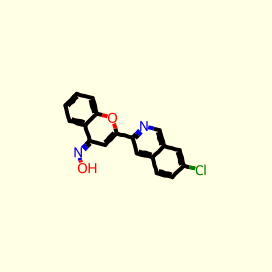 ON=c1cc(-c2cc3ccc(Cl)cc3cn2)oc2ccccc12